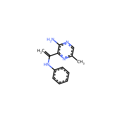 C=C(Nc1ccccc1)c1nc(C)cnc1N